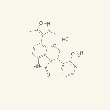 Cc1noc(C)c1-c1ccc2[nH]c(=O)n3c2c1OCC3c1cccnc1C(=O)O.Cl